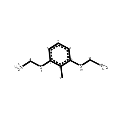 Cc1c(SCN)cccc1SCN